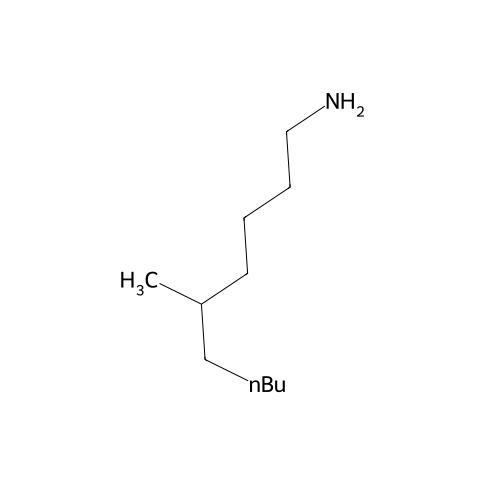 CCCCCC(C)CCCCN